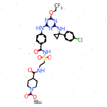 CC(C)(C)OC(=O)N1CCC(C(=O)NCCS(=O)(=O)NC(=O)c2ccc(Nc3nc(NC4(c5ccc(Cl)cc5)CC4)nc(OCC(F)(F)F)n3)cc2)CC1